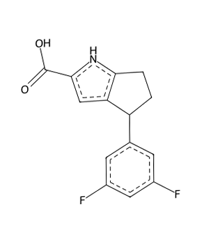 O=C(O)c1cc2c([nH]1)CCC2c1cc(F)cc(F)c1